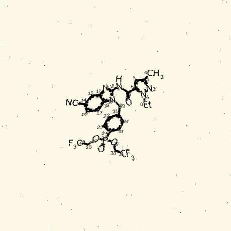 CCn1nc(C)cc1C(=O)Nc1nc2cc(C#N)ccc2n1Cc1ccc(P(=O)(OCC(F)(F)F)OCC(F)(F)F)cc1